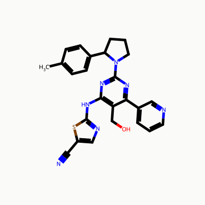 Cc1ccc(C2CCCN2c2nc(Nc3ncc(C#N)s3)c(CO)c(-c3cccnc3)n2)cc1